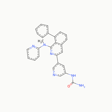 CN(c1ccccn1)c1nc(-c2cncc(NC(N)=O)c2)cc2cccc(-c3ccccc3)c12